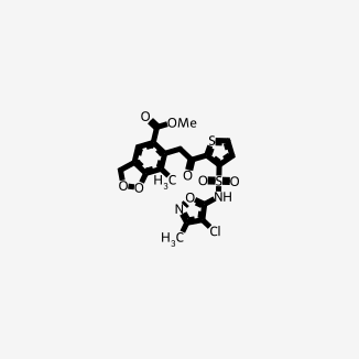 COC(=O)c1cc2c(c(C)c1CC(=O)c1sccc1S(=O)(=O)Nc1onc(C)c1Cl)OOC2